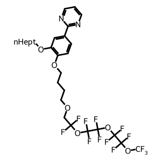 CCCCCCCOc1cc(-c2ncccn2)ccc1OCCCCOCC(F)(F)OC(F)(F)C(F)(F)OC(F)(F)C(F)(F)OC(F)(F)F